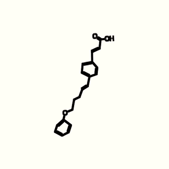 O=C(O)/C=C/c1ccc(C=CCCCOc2ccccc2)cc1